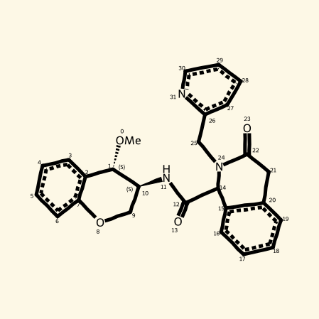 CO[C@H]1c2ccccc2OC[C@@H]1NC(=O)C1c2ccccc2CC(=O)N1Cc1ccccn1